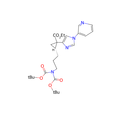 CCOC(=O)C1(c2cn(-c3cccnc3)cn2)C[C@H]1CCCN(C(=O)OC(C)(C)C)C(=O)OC(C)(C)C